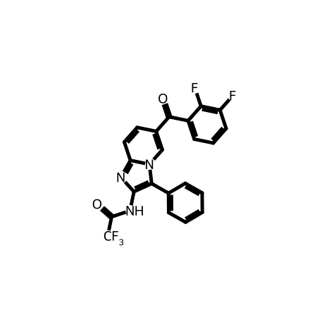 O=C(c1ccc2nc(NC(=O)C(F)(F)F)c(-c3ccccc3)n2c1)c1cccc(F)c1F